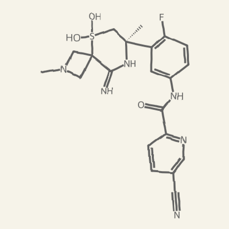 CN1CC2(C1)C(=N)N[C@](C)(c1cc(NC(=O)c3ccc(C#N)cn3)ccc1F)CS2(O)O